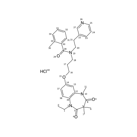 CCN1C(=O)C(C)(C)C(=O)N(C)c2cc(OCCCN(CCc3cccnc3)C(=O)c3ccccc3C)ccc21.Cl